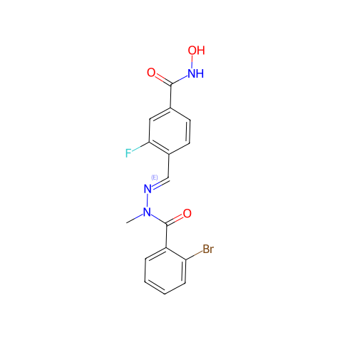 CN(/N=C/c1ccc(C(=O)NO)cc1F)C(=O)c1ccccc1Br